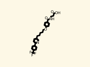 O=C(O)CCNC(=O)c1ccc(OCCCCCc2ccc(-c3ccc(C(F)(F)F)cc3)nc2)cc1